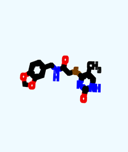 Cc1c[nH]c(=O)nc1SCC(=O)NCc1ccc2c(c1)OCO2